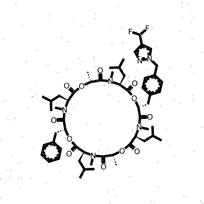 CC(C)C[C@H]1C(=O)O[C@H](Cc2ccc(Cn3cc(C(F)F)cn3)cc2)C(=O)N(C)[C@@H](CC(C)C)C(=O)O[C@H](C)C(=O)N(C)[C@@H](CC(C)C)C(=O)O[C@H](Cc2ccccc2)C(=O)N(C)[C@@H](CC(C)C)C(=O)O[C@H](C)C(=O)N1C